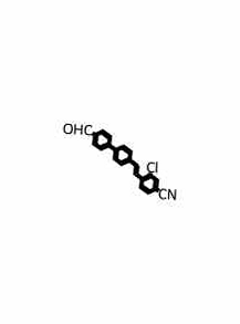 N#Cc1ccc(C=Cc2ccc(-c3ccc(C=O)cc3)cc2)c(Cl)c1